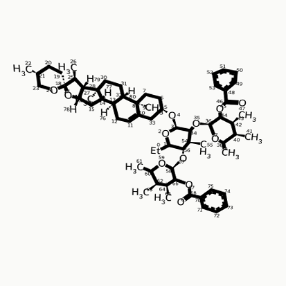 CCC1O[C@@H](O[C@H]2CC[C@@]3(C)C(=CC[C@H]4[C@@H]5C[C@@H]6O[C@]7(CC[C@@H](C)CO7)[C@@H](C)[C@@H]6[C@@]5(C)CC[C@@H]43)C2)C(O[C@@H]2OC(C)[C@H](C)[C@H](C)C2OC(=O)c2ccccc2)[C@@H](C)[C@@H]1O[C@@H]1OC(C)[C@H](C)[C@H](C)C1OC(=O)c1ccccc1